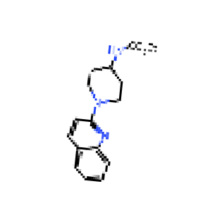 CCOC(=O)NC1CCN(c2ccc3ccccc3n2)CC1